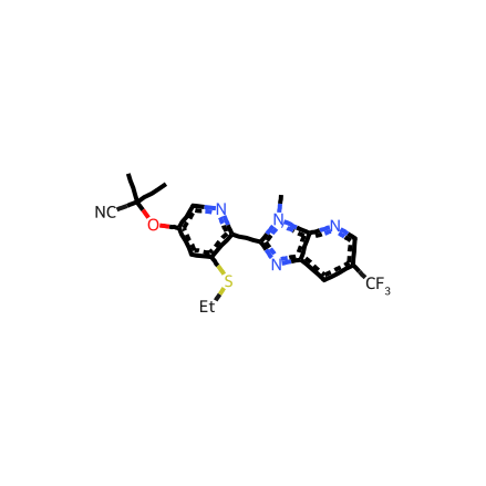 CCSc1cc(OC(C)(C)C#N)cnc1-c1nc2cc(C(F)(F)F)cnc2n1C